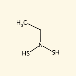 CCN(S)S